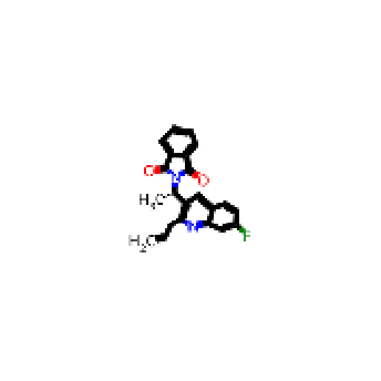 C=CCc1nc2cc(F)ccc2cc1[C@H](C)N1C(=O)c2ccccc2C1=O